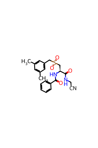 Cc1cc(C)cc(CS(=O)(=O)C[C@H](NC(=O)c2ccccc2)C(=O)NCC#N)c1